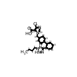 CCCCN1NN=C(c2ccccc2-c2ccc(Cn3cnc(Cl)c3C(=O)O)cc2)N1